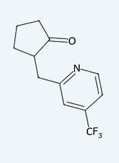 O=C1CCCC1Cc1cc(C(F)(F)F)ccn1